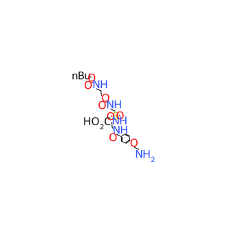 CCCCOC(=O)NCCCOC(=O)NCCS(=O)(=O)N[C@@H](CNC(=O)c1ccc(OCCN)cc1)C(=O)O